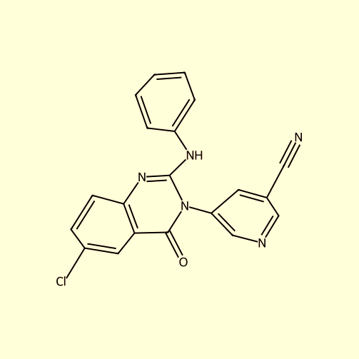 N#Cc1cncc(-n2c(Nc3ccccc3)nc3ccc(Cl)cc3c2=O)c1